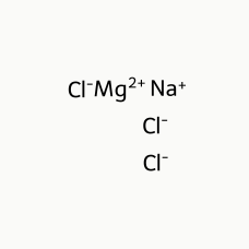 [Cl-].[Cl-].[Cl-].[Mg+2].[Na+]